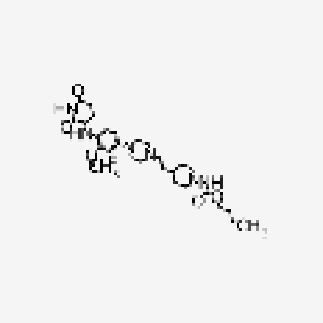 CCCCOC(=O)NN1CCC(CCN2CCN(c3ccc(NC4CCC(=O)NC4=O)c(OC)c3F)CC2)CC1